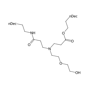 CCCCCCCCCCCCNC(=O)CCN(CCOCCO)CCC(=O)OCCCCCCCCCCCC